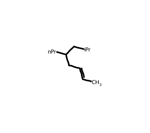 CC=CCC(CCC)CC(C)C